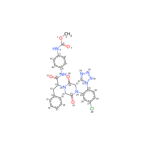 COC(=O)Nc1ccc(NC(=O)C(Cc2ccccc2)N2CC(=O)N(c3cc(Cl)ccc3-n3cnnn3)CC2=O)cc1